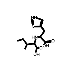 CCC(C)C(NC(Cc1c[nH]cn1)C(=O)O)C(=O)O